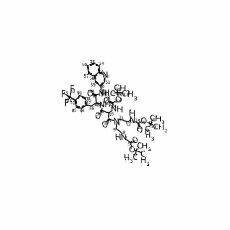 CC(C)(C)OC(=O)NCCN(CCNC(=O)OC(C)(C)C)C(=O)C(NC(=O)OC(C)(C)C)C(=O)N[C@@H](Cc1ccc(C(F)(F)F)cc1)C(=O)Nc1cnc2ccccc2c1